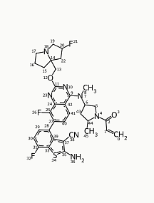 C=CC(=O)N1CC(N(C)c2nc(OCC34CCCN3CC(F)C4)nc3c(F)c(-c4ccc(F)c5sc(N)c(C#N)c45)ccc23)CC1C